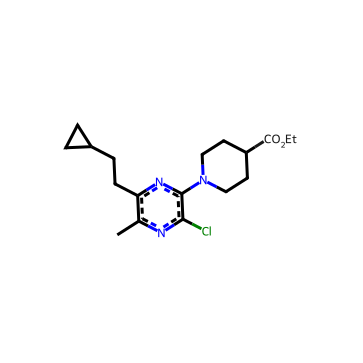 CCOC(=O)C1CCN(c2nc(CCC3CC3)c(C)nc2Cl)CC1